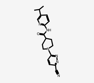 CC(C)c1ccc(NC(=O)C2CCN(c3ccc(C#N)nn3)CC2)nc1